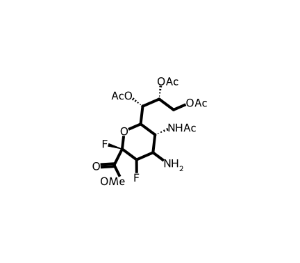 COC(=O)[C@]1(F)OC([C@H](OC(C)=O)[C@@H](COC(C)=O)OC(C)=O)[C@H](NC(C)=O)C(N)C1F